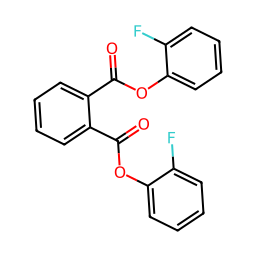 O=C(Oc1ccccc1F)c1ccccc1C(=O)Oc1ccccc1F